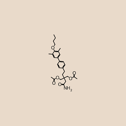 CCCCOc1c(C)cc(-c2ccc(CCC(COC(C)=O)(COC(C)=O)CC(N)=O)cc2)cc1C